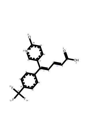 O=C(O)/C=C/C=C(/c1ccc(C(F)(F)F)cc1)c1ccc(Cl)nc1